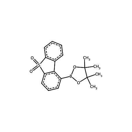 CC1(C)OB(c2cccc3c2-c2ccccc2S3(=O)=O)OC1(C)C